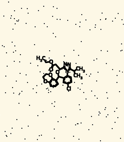 CCOC(=O)CC1OC(c2cccc3c2OCCO3)c2cc(Cl)ccc2-n2c(C(C)C)nnc21